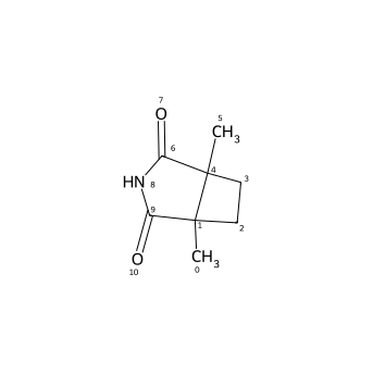 CC12CCC1(C)C(=O)NC2=O